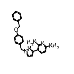 Nc1ccc(-c2ccn(Cc3ccc(OCc4ccccc4)cc3)n2)c(N)n1